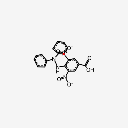 O=C(O)c1cc([N+](=O)[O-])c(NN(c2ccccc2)c2ccccc2)c([N+](=O)[O-])c1